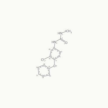 CNC(=O)Nc1ccc(Oc2ccccc2)c(Cl)c1